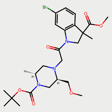 COC[C@H]1CN(C(=O)OC(C)(C)C)[C@H](C)CN1CC(=O)N1CC(C)(C(=O)OC)c2ccc(Br)cc21